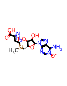 C[S+](CCC(N)C(=O)O)C[C@H]1O[C@@H](n2cnc3c2N=CN([O-])C3N)C(O)C1O